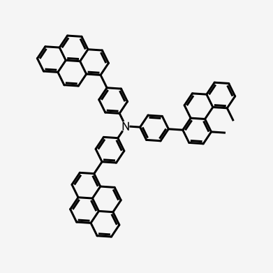 Cc1cccc2ccc3c(-c4ccc(N(c5ccc(-c6ccc7ccc8cccc9ccc6c7c89)cc5)c5ccc(-c6ccc7ccc8cccc9ccc6c7c89)cc5)cc4)ccc(C)c3c12